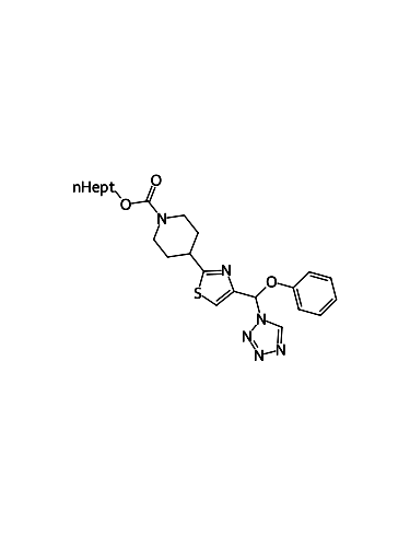 CCCCCCCOC(=O)N1CCC(c2nc(C(Oc3ccccc3)n3cnnn3)cs2)CC1